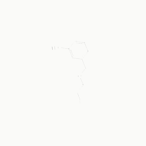 Cc1cccc(COCCF)c1